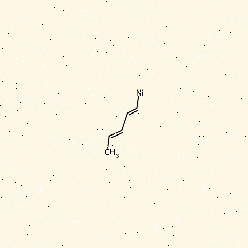 CC=CC=[CH][Ni]